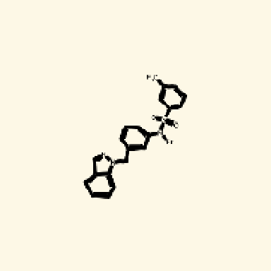 CCN(c1cccc(Cn2ncc3ccccc32)c1)S(=O)(=O)c1cccc(C(F)(F)F)c1